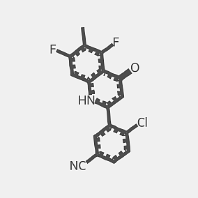 Cc1c(F)cc2[nH]c(-c3cc(C#N)ccc3Cl)cc(=O)c2c1F